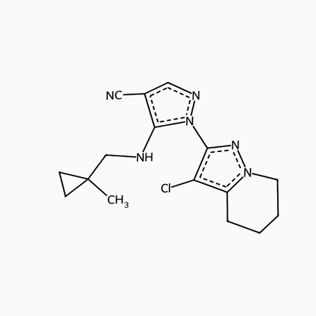 CC1(CNc2c(C#N)cnn2-c2nn3c(c2Cl)CCCC3)CC1